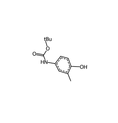 Cc1cc(NC(=O)OC(C)(C)C)ccc1O